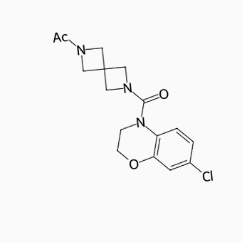 CC(=O)N1CC2(C1)CN(C(=O)N1CCOc3cc(Cl)ccc31)C2